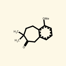 COc1cccc2c1CCC(C)(C)C(=O)C2